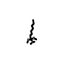 CCCCCCCC(OC)(OC)N(C)C